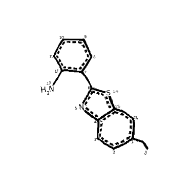 Cc1ccc2nc(-c3ccccc3N)sc2c1